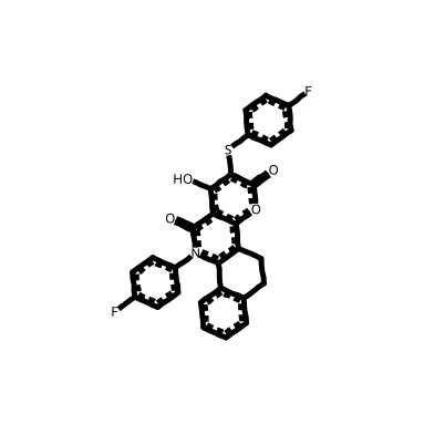 O=c1oc2c3c(n(-c4ccc(F)cc4)c(=O)c2c(O)c1Sc1ccc(F)cc1)-c1ccccc1CC3